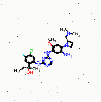 CCC(C)(O)c1cc(F)c(Cl)cc1Nc1ncnc(Nc2cc(N)c(N3CC[C@@H]3CN(C)C)cc2OC)n1